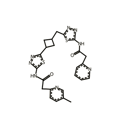 Cc1ccc(CC(=O)Nc2nnc(C3CC(Cc4nnc(NC(=O)Cc5ccccn5)s4)C3)s2)nc1